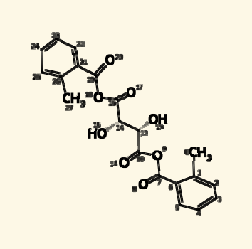 Cc1ccccc1C(=O)OC(=O)[C@@H](O)[C@H](O)C(=O)OC(=O)c1ccccc1C